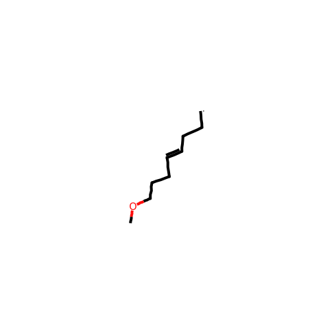 [CH2]CCC=CCCCOC